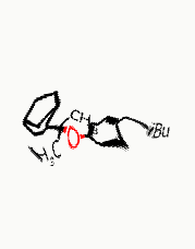 CCC(C)c1ccc(OC(C)(C)C2CC3CCC2C3)cc1